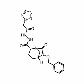 O=C(Cn1ncnn1)NNC(=O)[C@@H]1CC[C@@H]2CN1C(=O)N2OCc1ccccc1